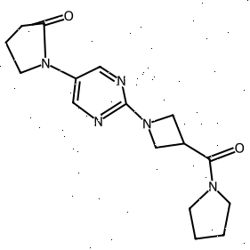 O=C(C1CN(c2ncc(N3CCCC3=O)cn2)C1)N1CCCC1